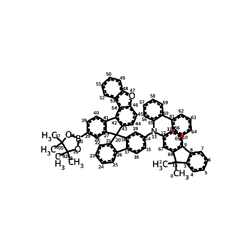 CC1(C)c2ccccc2-c2ccc(N(c3ccc4c(c3)C3(c5ccccc5-4)c4cc(B5OC(C)(C)C(C)(C)O5)ccc4-c4c3ccc3oc5ccccc5c43)c3ccccc3-c3ccccc3)cc21